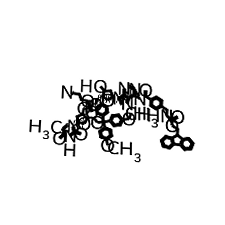 COc1ccc(C(OC[C@H]2O[C@@H](n3cc(C)c(=O)[nH]c3=O)CC2OP(=O)(OCCC#N)OC[C@H]2O[C@@H](n3cnc4c(NC(=O)c5ccc(CNC(=O)OCC6c7ccccc7-c7ccccc76)cc5)ncnc43)CC2O)(c2ccccc2)c2ccc(OC)cc2)cc1